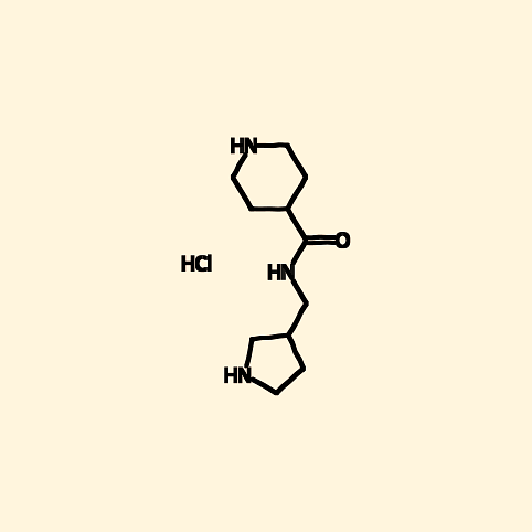 Cl.O=C(NCC1CCNC1)C1CCNCC1